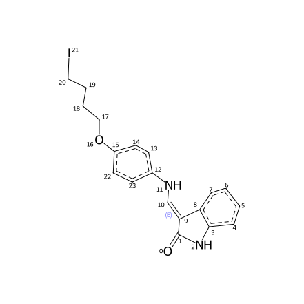 O=C1Nc2ccccc2/C1=C\Nc1ccc(OCCCCI)cc1